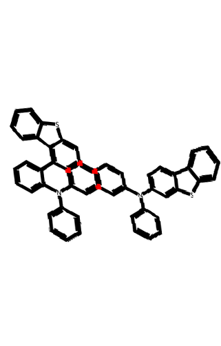 c1ccc(N(c2ccc(-c3cc(-c4ccccc4N(c4ccccc4)c4ccccc4)c4c(c3)sc3ccccc34)cc2)c2ccc3c(c2)sc2ccccc23)cc1